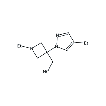 CCc1cnn(C2(CC#N)CN(CC)C2)c1